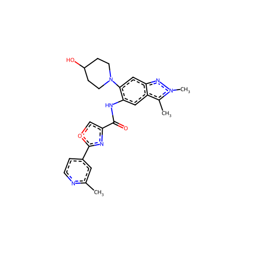 Cc1cc(-c2nc(C(=O)Nc3cc4c(C)n(C)nc4cc3N3CCC(O)CC3)co2)ccn1